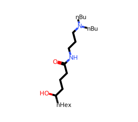 CCCCCCC(O)CCCC(=O)NCCCN(CCCC)CCCC